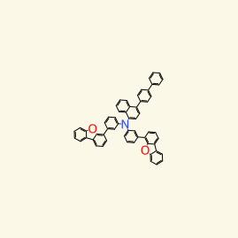 c1ccc(-c2ccc(-c3ccc(N(c4cccc(-c5cccc6c5oc5ccccc56)c4)c4cccc(-c5cccc6c5oc5ccccc56)c4)c4ccccc34)cc2)cc1